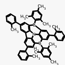 Cc1cc(C)c(B2c3cc(-c4ccccc4C)cc4c3-n3c5c2cc(-c2ccccc2C)cc5c2cc(-c5ccccc5C)cc(c23)B4c2c(C)cc(C)cc2C)c(C)c1